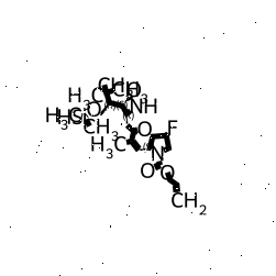 C=CCOC(=O)N1CC(F)C[C@H]1C=C(C)C(=O)C[C@H]1NC(=O)[C@H]1[C@@H](CO[SiH](C)C)C(C)(C)C